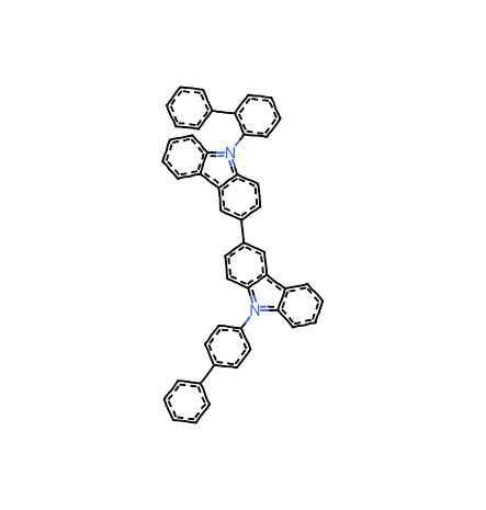 c1ccc(-c2ccc(-n3c4ccccc4c4cc(-c5ccc6c(c5)c5ccccc5n6-c5ccccc5-c5ccccc5)ccc43)cc2)cc1